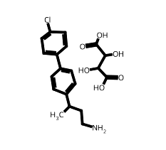 CC(CCN)c1ccc(-c2ccc(Cl)cc2)cc1.O=C(O)C(O)C(O)C(=O)O